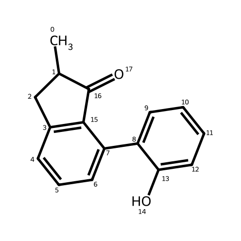 CC1Cc2cccc(-c3ccccc3O)c2C1=O